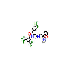 O=C(c1cc(C(F)(F)F)cc(C(F)(F)F)c1)N1CCC(N2CCC(C(=O)N3CCCC3)(c3ccccc3)CC2)CC1Cc1ccc(C(F)(F)F)cc1